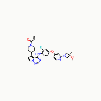 C=CC(=O)N1CCC(c2ccn3ncnc(Nc4ccc(Oc5ccnc(N6CC(C)(OC)C6)c5)cc4F)c23)CC1